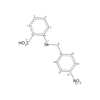 O=C(O)c1ccccc1[Se]Cc1ccc([N+](=O)[O-])cc1